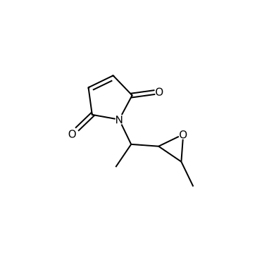 CC1OC1C(C)N1C(=O)C=CC1=O